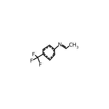 CC=Nc1ccc(C(F)(F)F)cc1